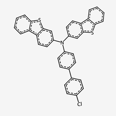 Clc1ccc(-c2ccc(N(c3ccc4c(c3)sc3ccccc34)c3ccc4c(c3)sc3ccccc34)cc2)cc1